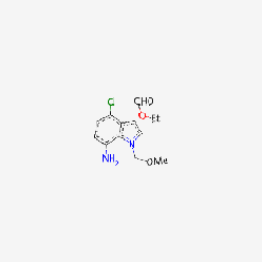 CCOC=O.COCn1ccc2c(Cl)ccc(N)c21